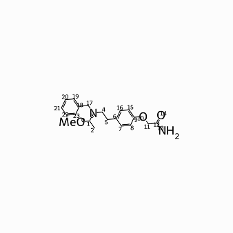 COC(C)N(CCc1ccc(OCC(N)=O)cc1)Cc1ccccc1